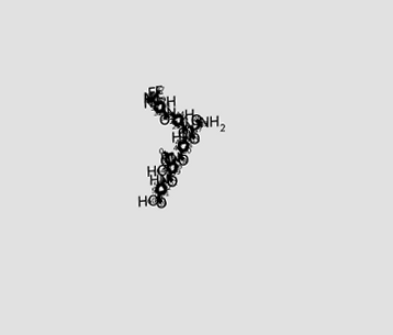 CC(C)Oc1c(NC(=O)c2ccc(NC(=O)[C@H](CC(N)=O)NC(=O)c3ccc(NC(=O)c4ccc(C5(C(F)(F)F)N=N5)cc4)cc3)cc2)ccc(C(=O)Nc2ccc(C(=O)O)cc2)c1O